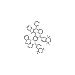 CC1(C)CCC(C)(C)c2cc(N3c4cc5c(cc4B4c6ccccc6Oc6cccc3c64)B3c4sc6ccccc6c4N(c4ccccc4)c4cccc(c43)N5c3ccc4c(c3)C(C)(C)CCC4(C)C)ccc21